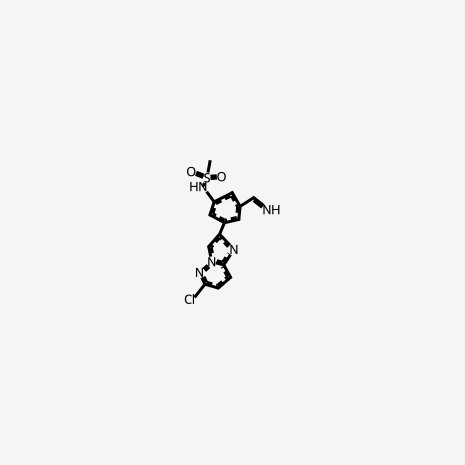 CS(=O)(=O)Nc1cc(C=N)cc(-c2cn3nc(Cl)ccc3n2)c1